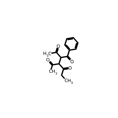 CCC(=O)C(C(C)=O)C(C(C)=O)C(=O)c1ccccc1